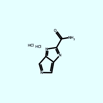 Cl.Cl.NC(=O)C1=NC2=CN=CC2=N1